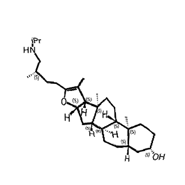 CC1=C(CC[C@H](C)CNC(C)C)O[C@H]2C[C@H]3[C@@H]4CC[C@H]5C[C@@H](O)CC[C@]5(C)[C@H]4CC[C@]3(C)[C@@H]12